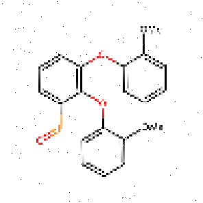 COc1ccccc1Oc1cccc(P=O)c1Oc1ccccc1OC